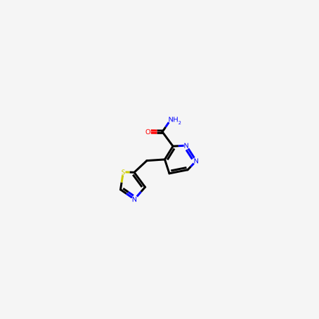 NC(=O)c1nnccc1Cc1cncs1